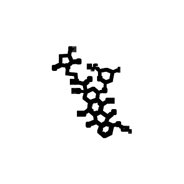 COc1cccc2c1C(=O)c1c(O)c3c(c(O)c1C2=O)C[C@@](O)(C(=O)NCCN1C(=O)CC(S)C1=O)C[C@@H]3O[C@H]1C[C@H](I)C[C@H](C)O1